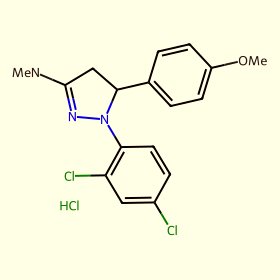 CNC1=NN(c2ccc(Cl)cc2Cl)C(c2ccc(OC)cc2)C1.Cl